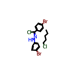 CCCCCCl.ClC(=NNc1ccc(Br)cc1)c1ccc(Br)cc1